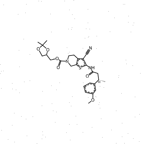 COc1cccc([C@@H](C)CC(=O)Nc2sc3c(c2C#N)CCN(C(=O)OCC2COC(C)(C)O2)C3)c1